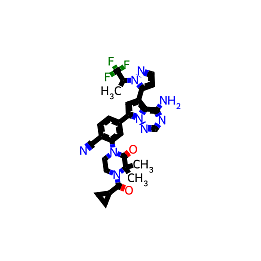 CC(n1nccc1-c1cc(-c2ccc(C#N)c(N3CCN(C(=O)C4CC4)C(C)(C)C3=O)c2)n2ncnc(N)c12)C(F)(F)F